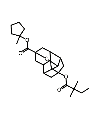 CCC(C)(C)C(=O)OC12CC3C4CC5(C(=O)OC6(C)CCCC6)CC3C(C1)C(C5)C4C2